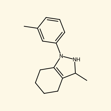 Cc1cccc(N2NC(C)C3=C2CCCC3)c1